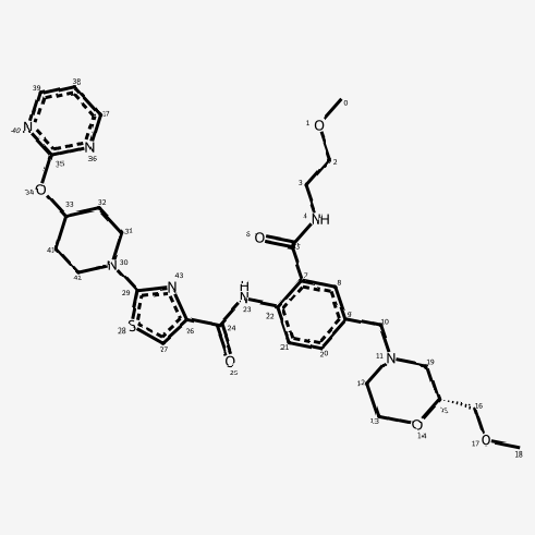 COCCNC(=O)c1cc(CN2CCO[C@@H](COC)C2)ccc1NC(=O)c1csc(N2CCC(Oc3ncccn3)CC2)n1